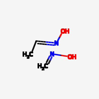 C=NO.CC=NO